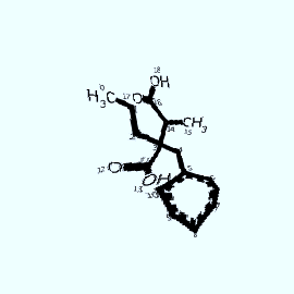 CCCC(Cc1ccccc1)(C(=O)O)C(C)C(=O)O